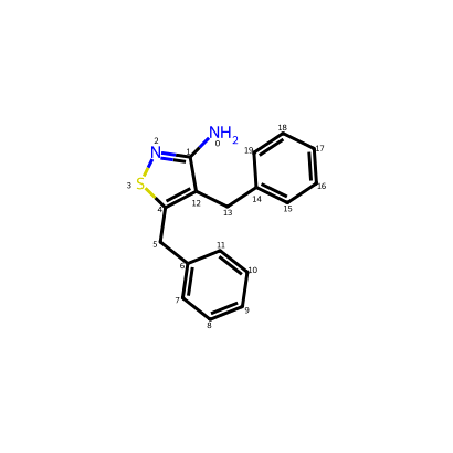 Nc1nsc(Cc2ccccc2)c1Cc1ccccc1